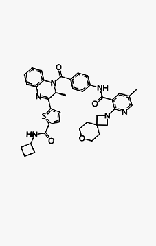 Cc1cnc(N2CC3(CCOCC3)C2)c(C(=O)Nc2ccc(C(=O)N3c4ccccc4N=C(c4ccc(C(=O)NC5CCC5)s4)[C@@H]3C)cc2)c1